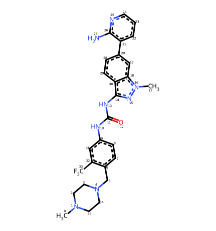 CN1CCN(Cc2ccc(NC(=O)Nc3nn(C)c4cc(-c5cccnc5N)ccc34)cc2C(F)(F)F)CC1